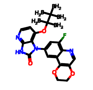 BC(B)(B)C(B)(B)Oc1ccnc2[nH]c(=O)n(-c3cc(F)c4ncc5c(c4c3)OCCO5)c12